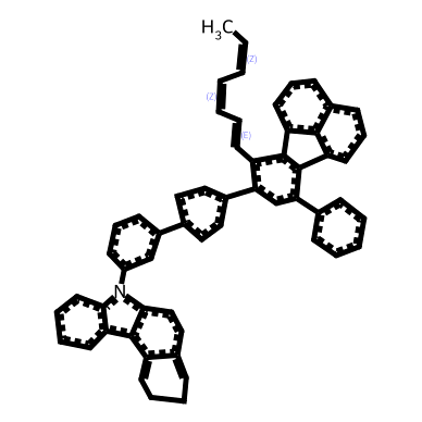 C\C=C/C=C\C=C\c1c(-c2ccc(-c3cccc(-n4c5ccccc5c5c6c(ccc54)=CCCC=6)c3)cc2)cc(-c2ccccc2)c2c1-c1cccc3cccc-2c13